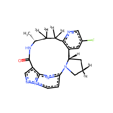 [2H]C1([2H])C[C@H]2c3cc(F)cnc3C([2H])([2H])C([2H])([2H])[C@@H](C)NC(=O)c3cnn4ccc(nc34)N2C1